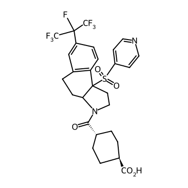 O=C(O)[C@H]1CC[C@H](C(=O)N2CCC3(S(=O)(=O)c4ccncc4)c4ccc(C(F)(C(F)(F)F)C(F)(F)F)cc4CCC23)CC1